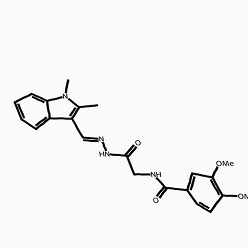 COc1ccc(C(=O)NCC(=O)N/N=C/c2c(C)n(C)c3ccccc23)cc1OC